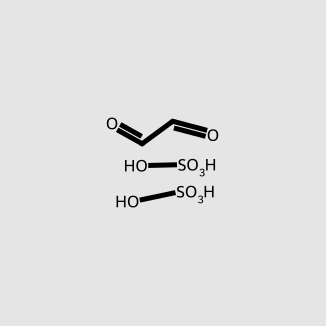 O=CC=O.O=S(=O)(O)O.O=S(=O)(O)O